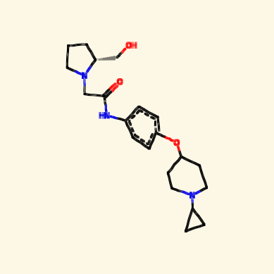 O=C(CN1CCC[C@@H]1CO)Nc1ccc(OC2CCN(C3CC3)CC2)cc1